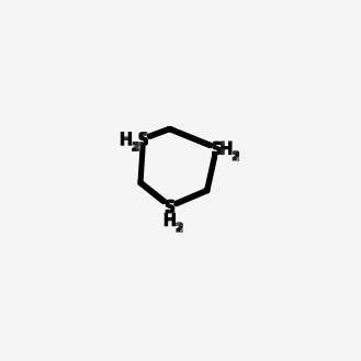 C1[SH2]C[SH2]C[SH2]1